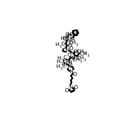 CC[C@H](C)[C@@H]([C@@H](CC(=O)N1CCC[C@H]1[C@H](OC)[C@@H](C)C(=O)N[C@@H](Cc1ccccc1)P(=O)(O)O)OC)N(C)C(=O)[C@@H](/N=C(\N(C)C)N1CCN(C(=O)CCCCCN2C(=O)C=CC2=O)CC1)C(C)C